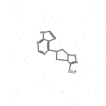 O=C(O)C1=NOC2CN(c3ncnc4[nH]ccc34)CC12